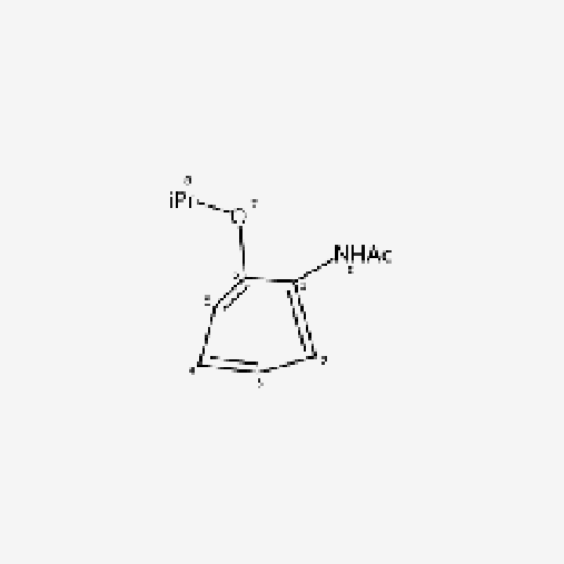 CC(=O)Nc1ccccc1OC(C)C